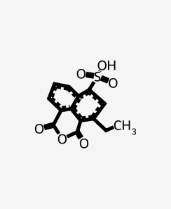 CCc1cc(S(=O)(=O)O)c2cccc3c2c1C(=O)OC3=O